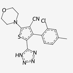 Cc1ccc(-c2c(-c3nnn[nH]3)sc(N3CCOCC3)c2C#N)c(Cl)c1